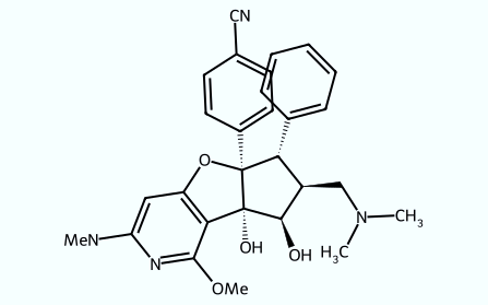 CNc1cc2c(c(OC)n1)[C@]1(O)[C@H](O)[C@H](CN(C)C)[C@@H](c3ccccc3)[C@]1(c1ccc(C#N)cc1)O2